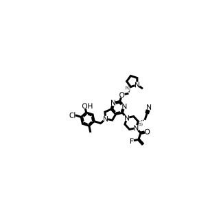 C=C(F)C(=O)N1CCN(c2nc(OC[C@@H]3CCCN3C)nc3c2CN(Cc2cc(O)c(Cl)cc2C)C3)C[C@@H]1CC#N